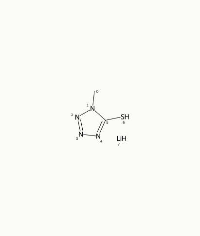 Cn1nnnc1S.[LiH]